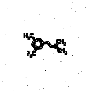 Cc1cc(CCN(C)C)cc(C(F)(F)F)c1